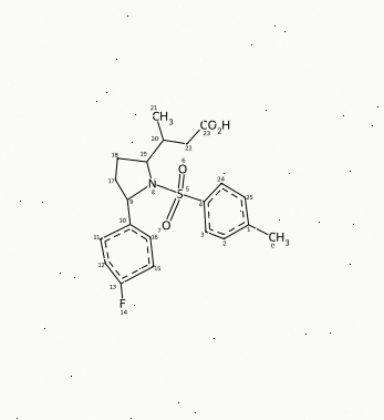 Cc1ccc(S(=O)(=O)N2C(c3ccc(F)cc3)CCC2C(C)CC(=O)O)cc1